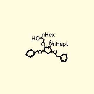 CCCCCCCN(C)[C@@H]1[C@@H](OCC(O)CCCCCC)[C@@H](OCc2ccccc2)C[C@H]1OCc1ccccc1